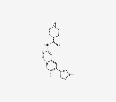 Cn1cc(-c2cc3cc(NC(=O)C4CCNCC4)ncc3cc2F)cn1